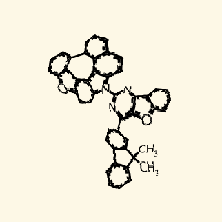 CC1(C)c2ccccc2-c2ccc(-c3nc(-n4c5ccc6cccc7c6c5c5c6c(ccc54)oc4cccc-7c46)nc4c3oc3ccccc34)cc21